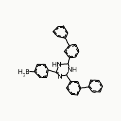 Bc1ccc(C2=NC(c3cccc(-c4ccccc4)c3)NC(c3cccc(-c4ccccc4)c3)N2)cc1